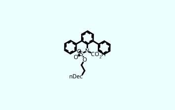 CCCCCCCCCCCCOS(=O)(=O)N(C(=O)O)c1c(-c2ccccc2)cccc1-c1ccccc1